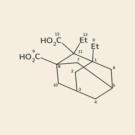 CCC12CC3CC(C1)CC(C(=O)O)(C3)C2(CC)C(=O)O